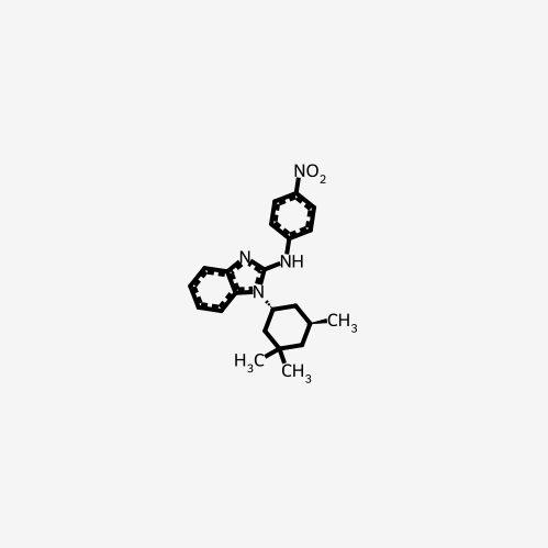 C[C@@H]1C[C@@H](n2c(Nc3ccc([N+](=O)[O-])cc3)nc3ccccc32)CC(C)(C)C1